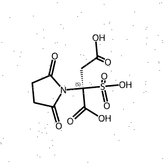 O=C(O)C[C@](C(=O)O)(N1C(=O)CCC1=O)S(=O)(=O)O